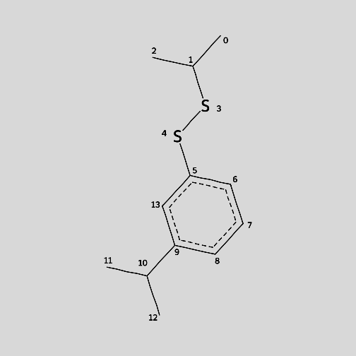 CC(C)SSc1cccc(C(C)C)c1